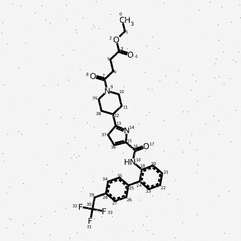 CCOC(=O)CCC(=O)N1CCC(C2=NC(C(=O)Nc3ccccc3-c3ccc(CC(F)(F)F)cc3)=CC2)CC1